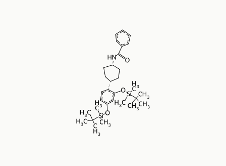 CC(C)(C)[Si](C)(C)Oc1ccc([C@H]2CC[C@@H](NC(=O)c3ccccc3)CC2)c(O[Si](C)(C)C(C)(C)C)c1